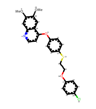 COc1cc2nccc(Oc3ccc(SCCOc4ccc(Cl)cc4)cc3)c2cc1OC